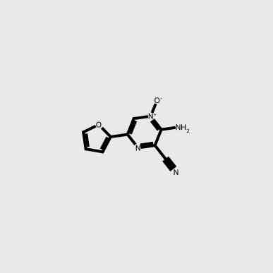 N#Cc1nc(-c2ccco2)c[n+]([O-])c1N